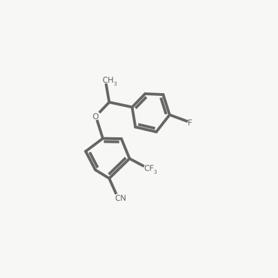 CC(Oc1ccc(C#N)c(C(F)(F)F)c1)c1ccc(F)cc1